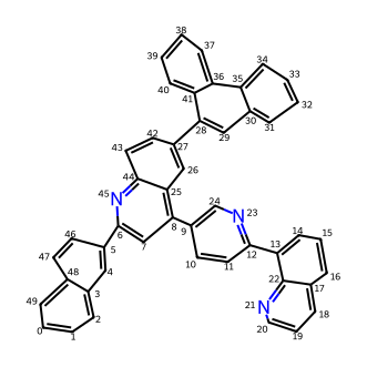 c1ccc2cc(-c3cc(-c4ccc(-c5cccc6cccnc56)nc4)c4cc(-c5cc6ccccc6c6ccccc56)ccc4n3)ccc2c1